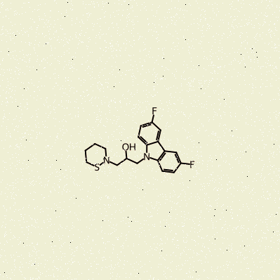 OC(CN1CCCCS1)Cn1c2ccc(F)cc2c2cc(F)ccc21